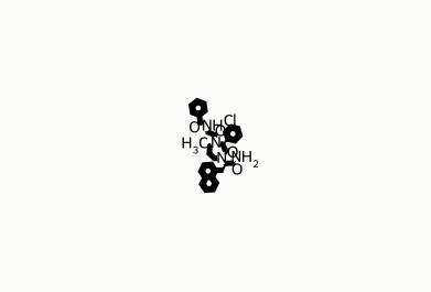 C[C@@H]1CCN([C@H](Cc2cccc3ccccc23)C(N)=O)C(=O)[C@H](c2cccc(Cl)c2)N1C(=O)CNC(=O)c1ccccc1